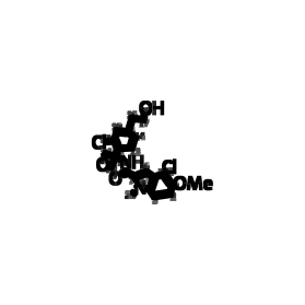 COc1ccc2c(cc(C(=O)NC3(c4ccc(CCO)cc4Cl)COC3)n2C)c1Cl